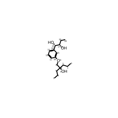 CCCC(O)(CCC)COc1cccc([C@H](O)[C@H](O)CC)c1